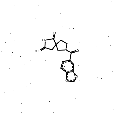 C=C1CC2(CCN(C(=O)c3ccc4scnc4c3)C2)C(=O)N1